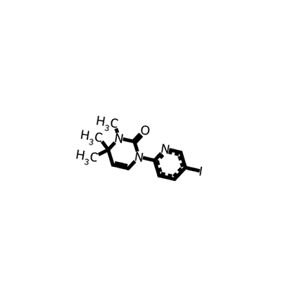 CN1C(=O)N(c2ccc(I)cn2)C=CC1(C)C